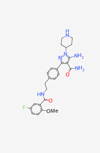 COc1ccc(F)cc1C(=O)NCCc1ccc(-c2nn(C3CCNCC3)c(N)c2C(N)=O)cc1